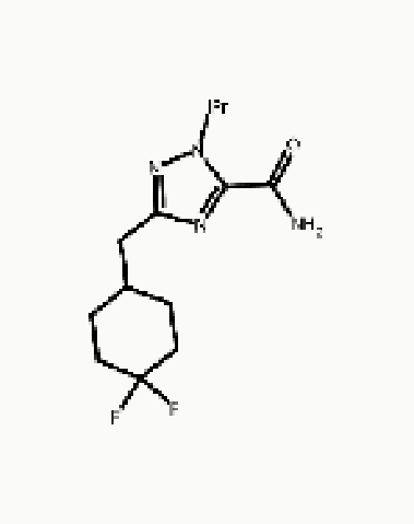 CC(C)n1nc(CC2CCC(F)(F)CC2)nc1C(N)=O